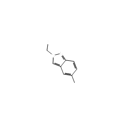 CC(=O)Cn1cc2cc(C)ccc2n1